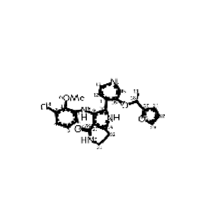 COc1c(Cl)cccc1Nc1c(-c2ccncc2O[C@@H](C)c2ccco2)[nH]c2c1C(=O)NCC2